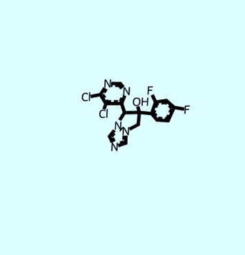 CC(c1ncnc(Cl)c1Cl)C(O)(Cn1cncn1)c1ccc(F)cc1F